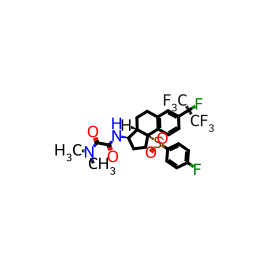 CN(C)C(=O)C(=O)N[C@@H]1CC[C@@]2(S(=O)(=O)c3ccc(F)cc3)c3ccc(C(F)(C(F)(F)F)C(F)(F)F)cc3CC[C@@H]12